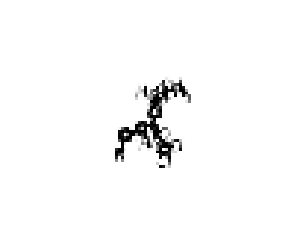 CC(C)(C)OC(=O)N1CCC(C(CNC(=O)Nc2cc(Cl)cc(Cl)c2)c2ccc(-c3cccc(C#N)c3)cc2)CC1